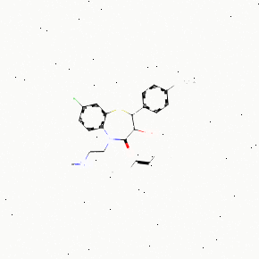 CCNCCN1C(=O)C(O)C(c2ccc(OC)cc2)Sc2cc(Cl)ccc21.O=C(O)C=CC(=O)O